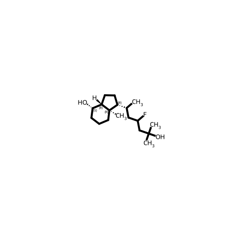 CC(CC(F)CC(C)(C)O)[C@H]1CC[C@H]2[C@@H](O)CCC[C@]12C